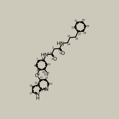 O=C(CC(=O)Nc1ccc(Oc2ccnc3[nH]ccc23)c(F)c1)NCCCc1ccccc1